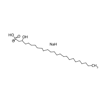 CCCCCCCCCCCCCCCCCCCCCCC(O)CS(=O)(=O)O.[NaH]